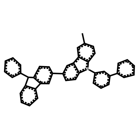 Cc1ccc2c(c1)c1cc(-c3ccc4c(c3)-c3ccccc3C4c3ccccc3)ccc1n2-c1cccc(-c2ccccc2)c1